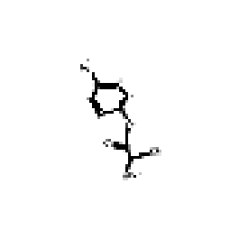 CCCCC(CC)C(=O)Oc1ccc(C#N)cc1